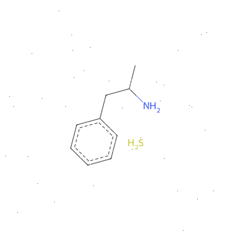 CC(N)Cc1ccccc1.S